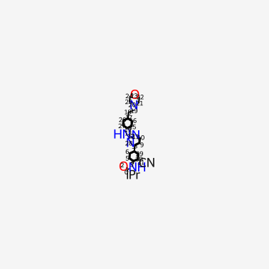 CC(C)C(=O)Nc1ccc(-c2ccnc(Nc3ccc(CCN4CCOCC4)cc3)n2)cc1C#N